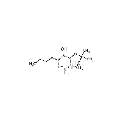 CCCCC(O)C(O)C(OC(C)(C)C)[SiH](C)C